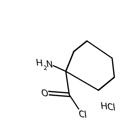 Cl.NC1(C(=O)Cl)CCCCC1